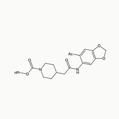 CCCOC(=O)N1CCC(CC(=O)Nc2cc3c(cc2C(C)=O)OCO3)CC1